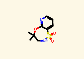 CC1(C)CNS(=O)(=O)c2cccnc2O1